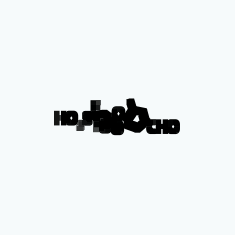 Cc1cc(C=O)ccc1OS(=O)(=O)CC(F)(F)S(=O)(=O)O